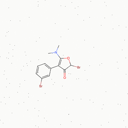 CN(C)C1=C(c2cccc(Br)c2)C(=O)C(Br)O1